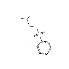 CC(C)COS(=O)(=O)c1ccccc1.[KH]